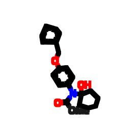 COC(=O)N(c1ccc(OCc2ccccc2)cc1)C1(O)CCCCC1